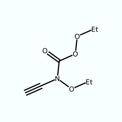 C#CN(OCC)C(=O)OOCC